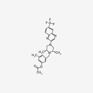 CC(=O)Oc1cc(C)cc(CN2[C@H](C)CN(c3cnc4cc(C(F)(F)F)ccc4n3)C[C@@H]2C)c1